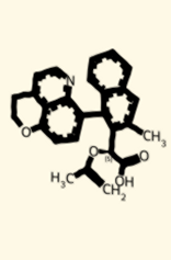 C=C(C)O[C@H](C(=O)O)c1c(C)cc2ccccc2c1-c1ccc2c3c(ccnc13)CCO2